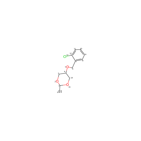 CCC1OCC(OCc2ccccc2Cl)CO1